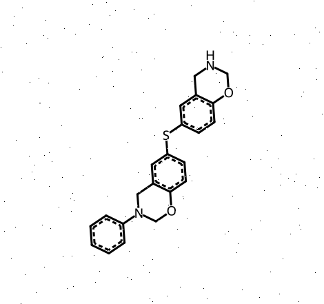 c1ccc(N2COc3ccc(Sc4ccc5c(c4)CNCO5)cc3C2)cc1